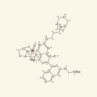 COCOc1cc(-c2cc(F)c3c(N4CC5CCC(C4)N5C(=O)OC(C)(C)C)nc(OCCCN4C5CCC4COC5)nc3c2F)c2ccccc2c1